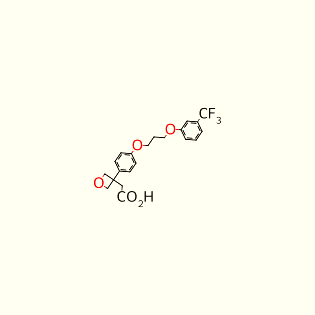 O=C(O)CC1(c2ccc(OCCCOc3cccc(C(F)(F)F)c3)cc2)COC1